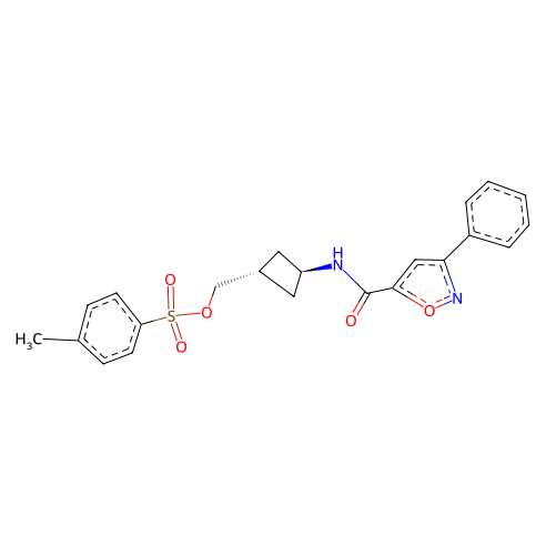 Cc1ccc(S(=O)(=O)OC[C@H]2C[C@H](NC(=O)c3cc(-c4ccccc4)no3)C2)cc1